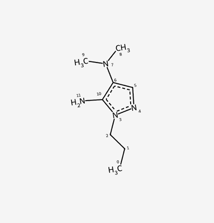 CCCn1ncc(N(C)C)c1N